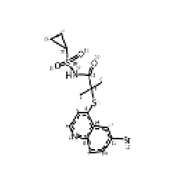 CC(C)(Sc1ccnc2ccc(Br)cc12)C(=O)NS(=O)(=O)C1CC1